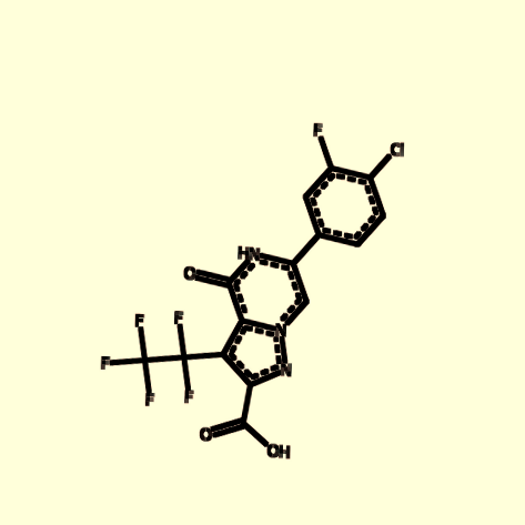 O=C(O)c1nn2cc(-c3ccc(Cl)c(F)c3)[nH]c(=O)c2c1C(F)(F)C(F)(F)F